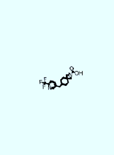 O=C(O)N1CC2(CCC(Cc3ccc(C(F)(F)F)nc3)CC2)C1